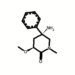 CO[C@H]1C[C@@](N)(c2ccccc2)CN(C)C1=O